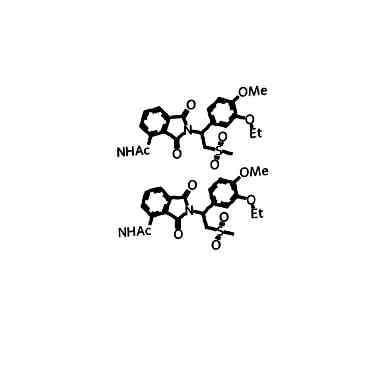 CCOc1cc(C(CS(C)(=O)=O)N2C(=O)c3cccc(NC(C)=O)c3C2=O)ccc1OC.CCOc1cc(C(CS(C)(=O)=O)N2C(=O)c3cccc(NC(C)=O)c3C2=O)ccc1OC